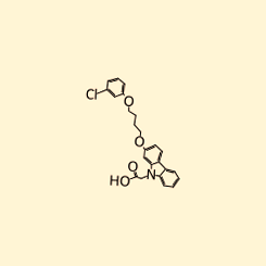 O=C(O)Cn1c2ccccc2c2ccc(OCCCCOc3cccc(Cl)c3)cc21